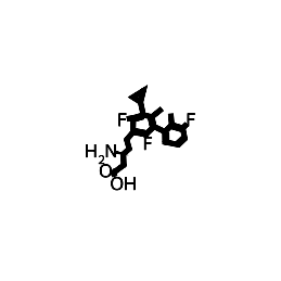 Cc1c(F)cccc1-c1c(C)c(C2CC2)c(F)c(CC[C@H](N)CC(=O)O)c1F